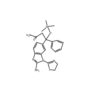 C[Si](C)(C)OC(CC(N)=O)(c1ccccc1)c1ccc2nc(N)n(C3=NCCS3)c2c1